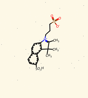 CC1=[N+](CCCS(=O)(=O)[O-])c2ccc3ccc(S(=O)(=O)O)cc3c2C1(C)C